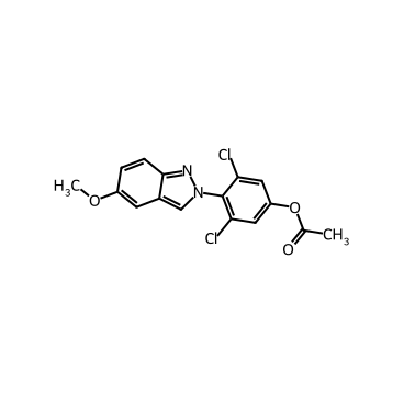 COc1ccc2nn(-c3c(Cl)cc(OC(C)=O)cc3Cl)cc2c1